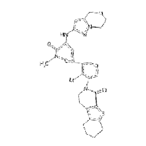 CCc1c(-c2cc(Nc3cc4n(n3)CCOC4)c(=O)n(C)c2)cccc1N1CCc2c(sc3c2CCCC3)C1=O